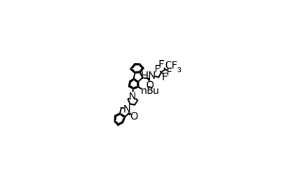 CCCCc1c(N2CCC(N3Cc4ccccc4C3=O)C2)ccc2c1C(C(=O)NCC(F)(F)C(F)(F)C(F)(F)F)c1ccccc1-2